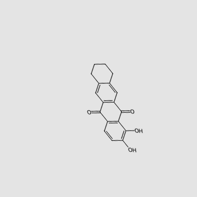 O=C1c2cc3c(cc2C(=O)c2c1ccc(O)c2O)CCCC3